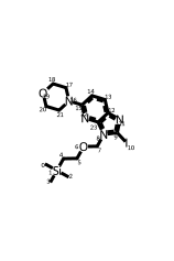 C[Si](C)(C)CCOCn1c(I)nc2ccc(N3CCOCC3)nc21